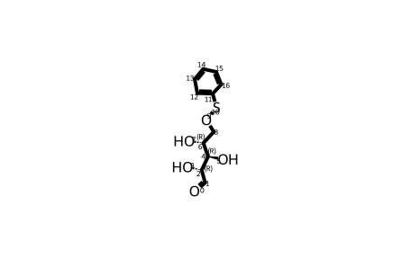 O=C[C@H](O)[C@H](O)[C@H](O)COSc1ccccc1